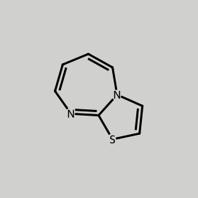 C1=CN=C2SC=CN2C=C1